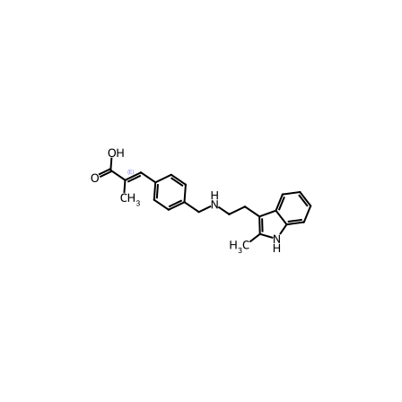 C/C(=C\c1ccc(CNCCc2c(C)[nH]c3ccccc23)cc1)C(=O)O